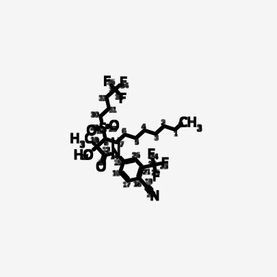 CCCCCCCCC([C@@](C)(O)C(=O)Nc1ccc(C#N)c(C(F)(F)F)c1)S(=O)(=O)CCCC(F)(F)F